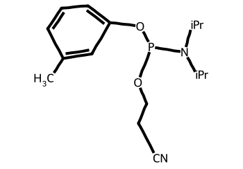 Cc1cccc(OP(OCCC#N)N(C(C)C)C(C)C)c1